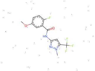 COc1ccc(F)c(C(=O)Nc2cc(C(F)(F)F)n(C)n2)c1